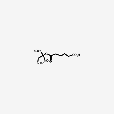 CCCCCCCCCCCC(CCCCCCCC)(CCCCCCCC)OC(=O)CCCCC(=O)O